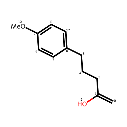 C=C(O)CCCc1ccc(OC)cc1